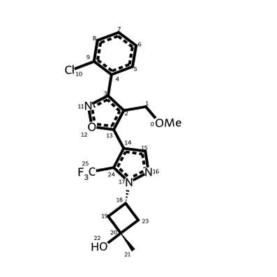 COCc1c(-c2ccccc2Cl)noc1-c1cnn([C@H]2C[C@@](C)(O)C2)c1C(F)(F)F